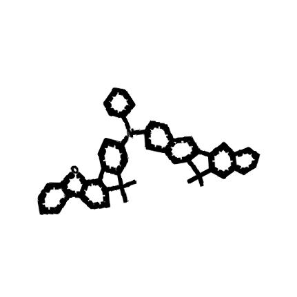 CC1(C)c2cc3ccccc3cc2-c2cc3ccc(N(c4ccccc4)c4ccc5c(c4)C(C)(C)c4ccc6c(oc7ccccc76)c4-5)cc3cc21